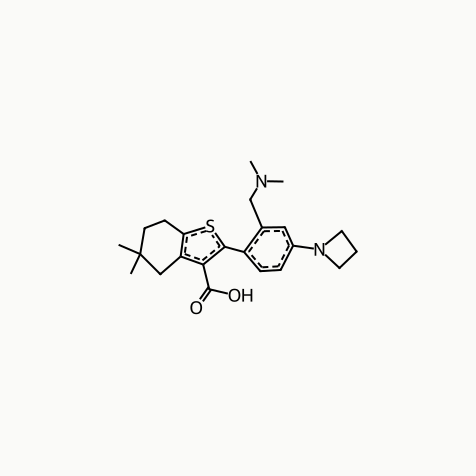 CN(C)Cc1cc(N2CCC2)ccc1-c1sc2c(c1C(=O)O)CC(C)(C)CC2